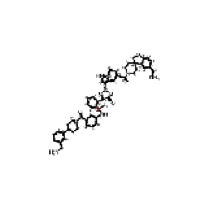 NCc1cccc(C2CCN(C(=O)c3cccc(NC(=O)C[C@]4(c5ccccc5)OB(c5c[nH]c6ccc(C(=O)N7CCC8(CC7)COc7ccc(CN)cc78)cc56)OC4=O)c3)CC2)c1